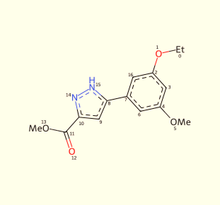 CCOc1cc(OC)cc(-c2cc(C(=O)OC)n[nH]2)c1